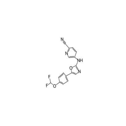 N#Cc1ccc(Nc2ncc(-c3ccc(OC(F)F)cc3)o2)cn1